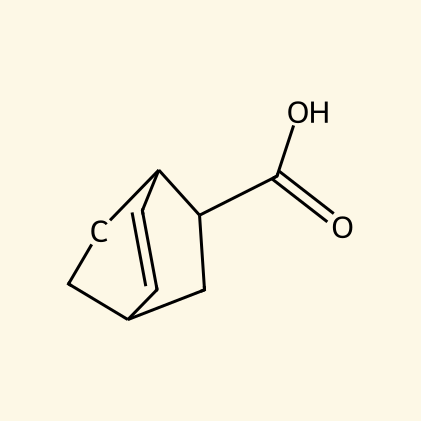 O=C(O)C1CC2C=CC1CC2